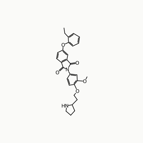 CCc1ccccc1Oc1ccc2c(c1)C(=O)N(c1ccc(OCCC3CCCN3)c(OC)c1)C2=O